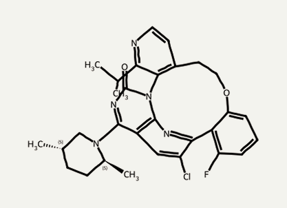 CC(C)c1nccc2c1-n1c(=O)nc(N3C[C@@H](C)CC[C@@H]3C)c3cc(Cl)c(nc31)-c1c(F)cccc1OCC2